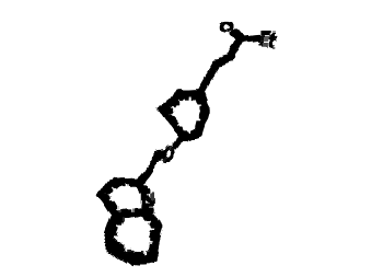 CCC(=O)CCc1ccc(OCc2ccc3ccccc3n2)cc1